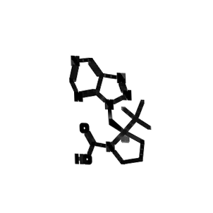 CC(C)(C)[C@]1(Cn2nnc3cncnc32)CCCN1C(=O)O